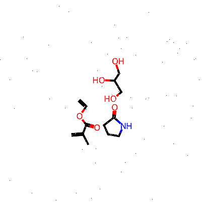 C=COC(=O)C(=C)C.O=C1CCCN1.OCC(O)CO